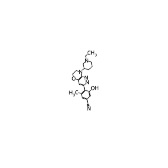 CCN1CCC[C@@H](N2CCOc3cc(-c4c(C)cc(C#N)cc4O)nnc32)C1